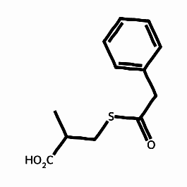 CC(CSC(=O)Cc1ccccc1)C(=O)O